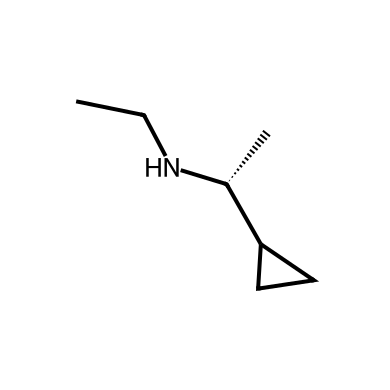 CCN[C@H](C)C1CC1